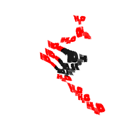 O.O.O.O.O.O.O.O=S(=O)(O)O.O=S(=O)(O)O.O=S(=O)(O)O